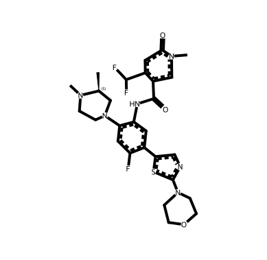 C[C@H]1CN(c2cc(F)c(-c3cnc(N4CCOCC4)s3)cc2NC(=O)c2cn(C)c(=O)cc2C(F)F)CCN1C